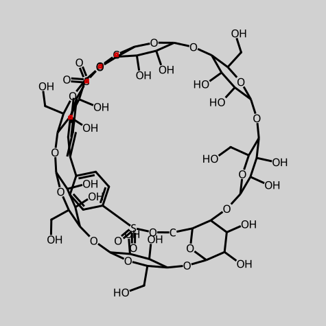 O=S1(=O)OCC2OC3OC4C(CO)OC(OC5C(CO)OC(OC6C(COS(=O)(=O)c7ccc(cc7)-c7ccc1cc7)OC(OC1C(CO)OC(OC7C(CO)OC(OC8C(CO)OC(OC2C(O)C3O)C(O)C8O)C(O)C7O)C(O)C1O)C(O)C6O)C(O)C5O)C(O)C4O